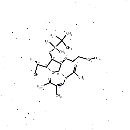 COCCO[C@@H]1[C@H](O[Si](C)(C)C(C)(C)C)[C@@H]([C@H](C)O)O[C@H]1N(/C=C(/C)C(C)=O)C(C)=O